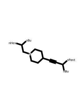 CCCCCCC(CCCC)CN1CCC(C#CC(CCCC)CCCCC)CC1